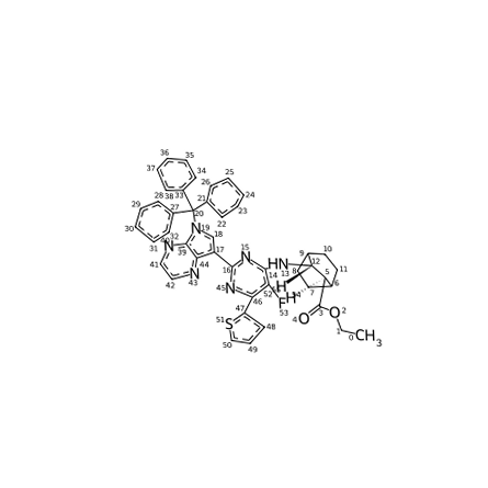 CCOC(=O)[C@@H]1C2CCC(CC2)[C@H]1Nc1nc(-c2cn(C(c3ccccc3)(c3ccccc3)c3ccccc3)c3nccnc23)nc(-c2cccs2)c1F